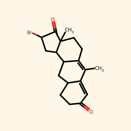 CC1=C2CCC3(C)C(=O)C(Br)CC3C2CC2CCC(=O)C=C12